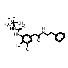 CC(C)(C)NC(=O)Nc1cc(CC(=O)NCCc2ccccc2)cc(Cl)c1O